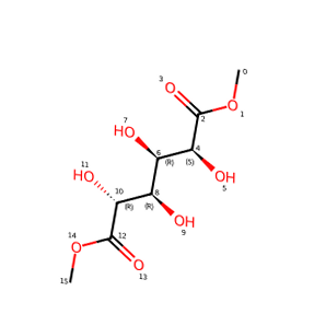 COC(=O)[C@@H](O)[C@H](O)[C@@H](O)[C@@H](O)C(=O)OC